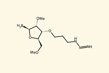 B[C@@H]1O[C@H](COC)[C@@H](OCCCNN=N)[C@H]1OC